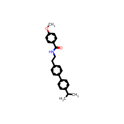 [CH2]C(C)c1ccc(-c2ccc(CCNC(=O)c3ccc(OC)cc3)cc2)cc1